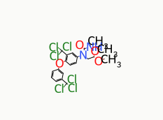 CNC(=O)N(CC(OC)OC)c1ccc(Oc2cccc(C(Cl)(Cl)Cl)c2)c(C(Cl)(Cl)Cl)c1